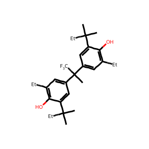 CCc1cc(C(C)(c2cc(CC)c(O)c(C(C)(C)CC)c2)C(F)(F)F)cc(C(C)(C)CC)c1O